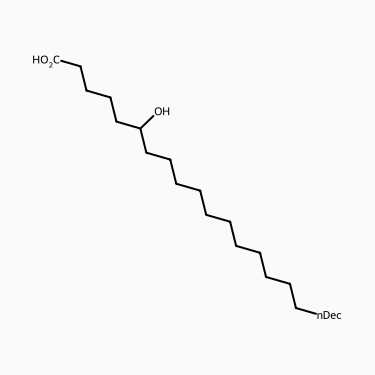 CCCCCCCCCCCCCCCCCCCCCC(O)CCCCC(=O)O